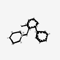 Cc1cccc(-c2ccccc2)c1CN1CCCCC1